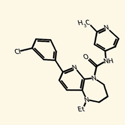 CCN1CCCN(C(=O)Nc2ccnc(C)c2)c2nc(-c3cccc(Cl)c3)ccc21